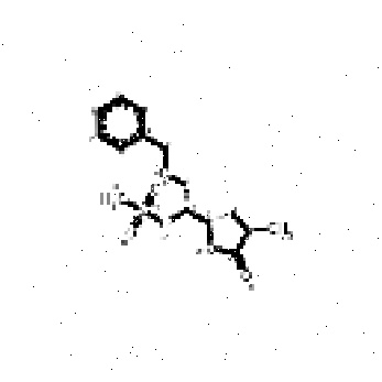 C[C@@H]1C[C@@H]([C@@H](COCc2ccccc2)OS(C)(=O)=O)OC1=O